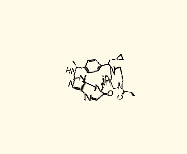 C=CC(=O)N1CCN(C(CC2CC2)c2ccc([C@H](C)Nc3ncc4ncc(=O)n(C(C)C)c4n3)cc2)CC1